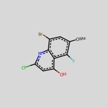 COc1cc(Br)c2nc(Cl)cc(O)c2c1F